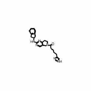 O=C(CCCCc1c[nH]cn1)N1CCc2nc(NC3Cc4ccccc4C3)ncc2C1